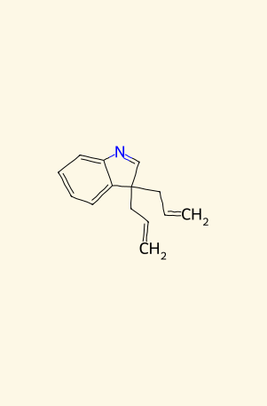 C=CCC1(CC=C)C=Nc2ccccc21